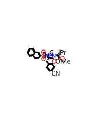 COC(=O)[C@H](C(C)C)N(C)C(=O)[C@H](Cc1ccc(C#N)cc1)NS(=O)(=O)c1ccc2ccccc2c1